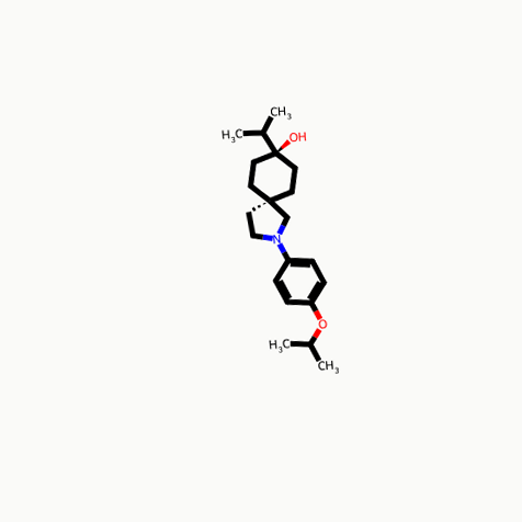 CC(C)Oc1ccc(N2CC[C@]3(CC[C@@](O)(C(C)C)CC3)C2)cc1